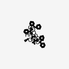 C#CCO[C@@H]1[C@H](NC(=O)C(C(=O)OC(c2ccccc2)c2ccccc2)c2ccccc2)C(=O)N1C(C(=O)OC(c1ccccc1)c1ccccc1)=C(C)C